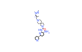 C=NN(C)/C=C(\C)CN1CCC2(CC1)CCN(C(=O)Nc1nc(-c3cccnc3)ccc1N)C2